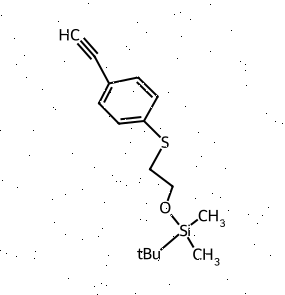 C#Cc1ccc(SCCO[Si](C)(C)C(C)(C)C)cc1